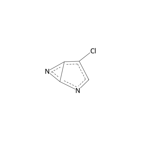 Clc1cnc2nc1-2